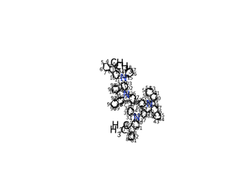 CC1(C)c2ccccc2-c2ccc(N(c3ccccc3)c3ccc(-n4c5cccc(-c6cccc(N(c7ccc(-c8c9ccccc9cc9c%10ccc%11ccccc%11c%10n(-c%10ccccc%10)c89)cc7)c7ccc8c(c7)C(C)(C)c7ccccc7-8)c6)c5c5cc6ccccc6c(-c6ccccc6)c54)cc3)cc21